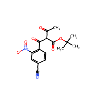 CC(=O)C(C(=O)OC(C)(C)C)C(=O)c1ccc(C#N)cc1[N+](=O)[O-]